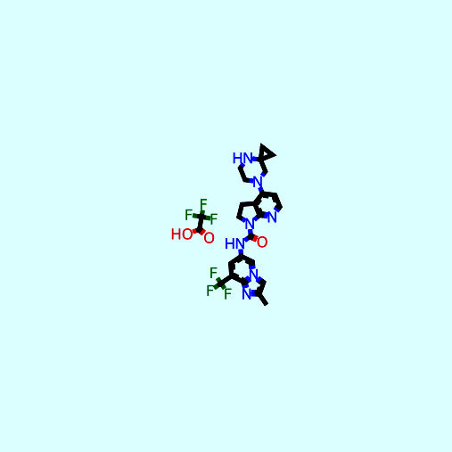 Cc1cn2cc(NC(=O)N3CCc4c(N5CCNC6(CC6)C5)ccnc43)cc(C(F)(F)F)c2n1.O=C(O)C(F)(F)F